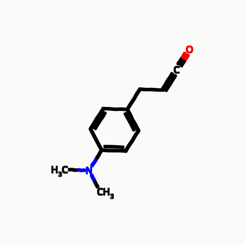 CN(C)c1ccc(CC=C=O)cc1